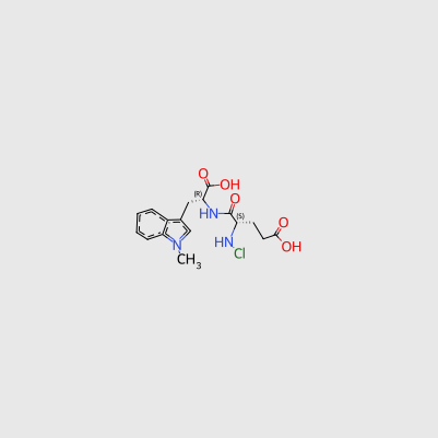 Cn1cc(C[C@@H](NC(=O)[C@H](CCC(=O)O)NCl)C(=O)O)c2ccccc21